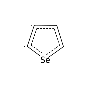 [c]1[c][se]cc1